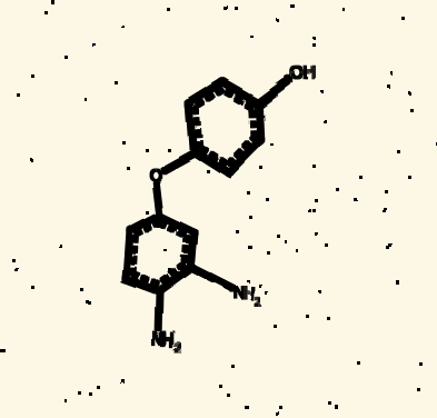 Nc1ccc(Oc2ccc(O)cc2)cc1N